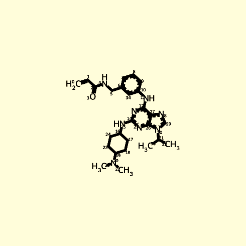 C=CC(=O)NCc1cccc(Nc2nc(NC3CCC(N(C)C)CC3)nc3c2ncn3C(C)C)c1